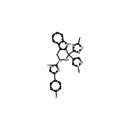 Cc1nc(C2(c3cnn(C)c3)N[C@@H](c3nc(-c4ccc(F)cc4)c[nH]3)Cc3c2[nH]c2ccccc32)no1